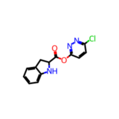 O=C(Oc1ccc(Cl)nn1)C1Cc2ccccc2N1